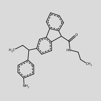 CCCNC(=O)C1c2ccccc2-c2cc(C(CC)c3ccc(N)cc3)ccc21